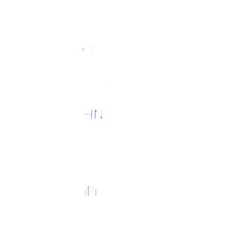 CC(C)CC1C=CC(=O)N1